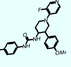 COc1ccc(C2CN(c3ccncc3F)CCC2NC(=O)Nc2ccc(Cl)cc2)cc1